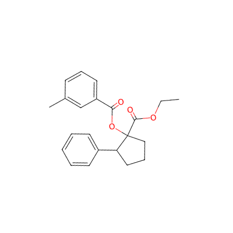 CCOC(=O)C1(OC(=O)c2cccc(C)c2)CCCC1c1ccccc1